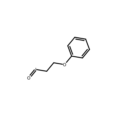 O=ICCOc1ccccc1